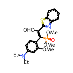 CCN(CC)c1ccc(/C(=C(\C=O)c2nc3ccccc3s2)P(=O)(OC)OC)c(OC)c1